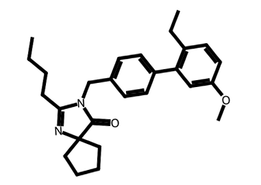 CCCCC1=NC2(CCCC2)C(=O)N1Cc1ccc(-c2cc(OC)ccc2CC)cc1